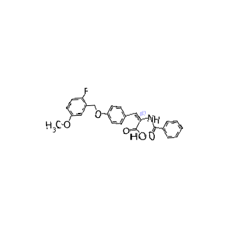 COc1ccc(F)c(COc2ccc(/C=C(/NC(=O)c3ccccc3)C(=O)O)cc2)c1